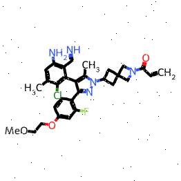 C=CC(=O)N1CC2(CC(n3nc(-c4ccc(OCCOC)cc4F)c(-c4c(Cl)c(C)cc(N)c4C=N)c3C)C2)C1